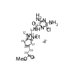 CCn1c(CNC(=O)c2nc(Cl)c(N)nc2N)[n+](C)c2ccc(CCC(=O)OC)cc21.[I-]